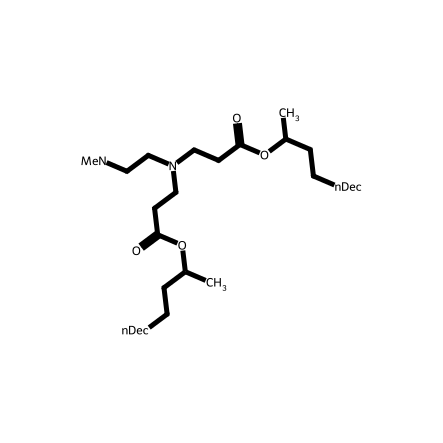 CCCCCCCCCCCCC(C)OC(=O)CCN(CCNC)CCC(=O)OC(C)CCCCCCCCCCCC